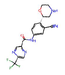 N#Cc1cc(NC(=O)c2cnc(C(F)(F)F)cn2)ccc1[C@H]1CNCCO1